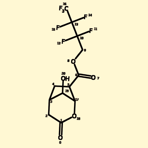 O=C1CC2CC(C(=O)OCC(F)(F)C(F)(F)C(F)(F)F)C(O1)C2O